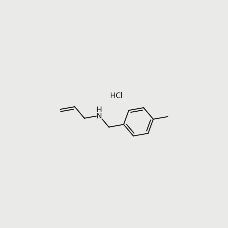 C=CCNCc1ccc(C)cc1.Cl